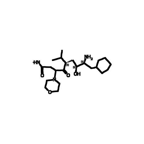 CC(C)[C@H](C[C@H](O)[C@@H](N)CC1CCCCC1)C(=O)C(CC([NH])=O)N1CCOCC1